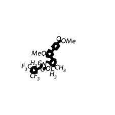 COC(=O)c1ccc(-c2cc(OC)cc(C3=C(CN4C(=O)OC(c5cc(C(F)(F)F)cc(C(F)(F)F)c5)[C@@H]4C)CC(C)(C)CC3)c2)cc1